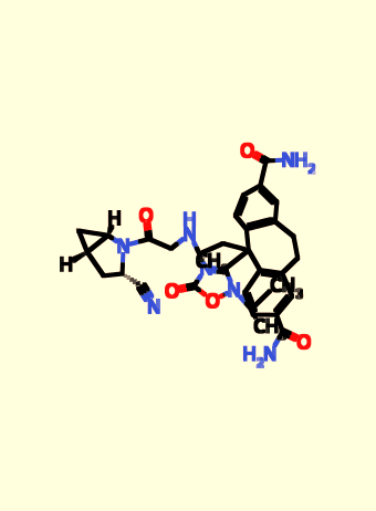 CC(C)n1oc(=O)nc1C1(C[C@H](C)NCC(=O)N2[C@H](C#N)C[C@@H]3C[C@@H]32)c2ccc(C(N)=O)cc2CCc2cc(C(N)=O)ccc21